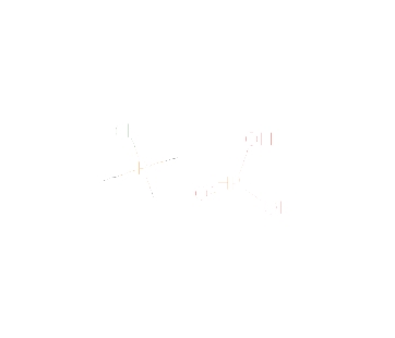 C[P](C)(C)Cl.O=[PH](O)O